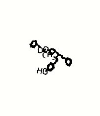 CC(OCc1ccccc1)Oc1ccc(C=C(C=Cc2ccccc2)C=Cc2ccc(O)cc2)cc1